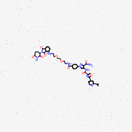 NC(=O)c1nn(-c2ccc(C(=O)NCCOCCOCCNc3cccc4c3C(=O)N(C3CCC(=O)NC3=O)C4=O)cc2)cc1NC(=O)c1coc(-c2ccnc(C3CC3)c2)n1